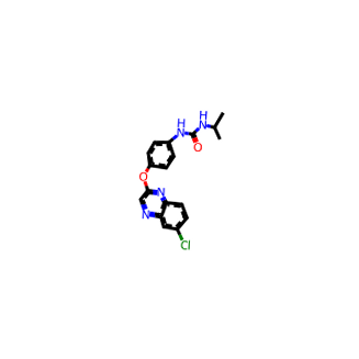 CC(C)NC(=O)Nc1ccc(Oc2cnc3cc(Cl)ccc3n2)cc1